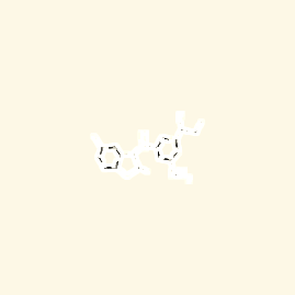 CCC(F)c1cc(N)cc(NC2c3cc(C)ccc3CC2C)c1